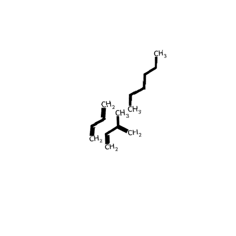 C=CC(=C)C.C=CC=C.CCCCCC